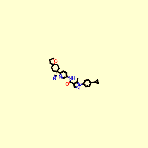 Cc1c(C(=O)Nc2ccc([C@]3(C#N)CC[C@]4(CCCO4)CC3)nc2)cnn1-c1ccc(C2CC2)cc1